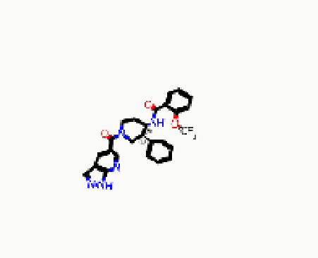 O=C(N[C@@H]1CCN(C(=O)c2cnc3[nH]ncc3c2)C[C@@H]1c1ccccc1)c1ccccc1OC(F)(F)F